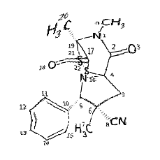 CN1C(=O)C23C[C@](C)(C#N)[C@H](c4ccccc4)N2C(=O)[C@@]1(C)SS3